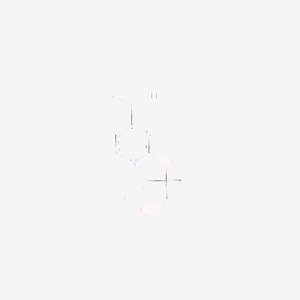 CCC(C)(CO)Oc1nccc(C(C)C)n1